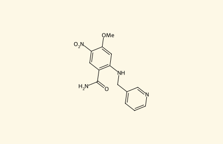 COc1cc(NCc2cccnc2)c(C(N)=O)cc1[N+](=O)[O-]